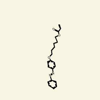 C=CC(=O)OCCCCCCOc1ccc(N=Nc2ccccc2)cc1